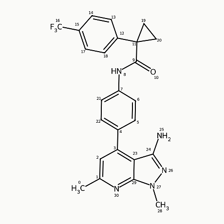 Cc1cc(-c2ccc(NC(=O)C3(c4ccc(C(F)(F)F)cc4)CC3)cc2)c2c(N)nn(C)c2n1